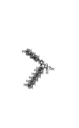 Nc1ccn([C@@H]2O[C@H](CO)[C@@H](O)[C@@H]2O)c(=O)n1.O.O=P(O)(O)O.O=P(O)(O)O.O=P(O)(O)O.O=P(O)(O)O.O=P(O)(O)O.O=P(O)(O)O.O=P(O)(O)O.O=P(O)(O)O